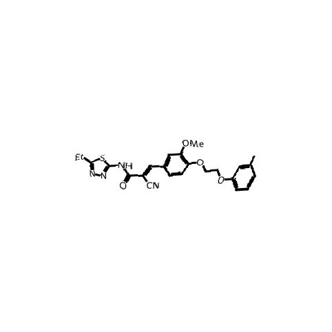 CCc1nnc(NC(=O)/C(C#N)=C/c2ccc(OCCOc3cccc(C)c3)c(OC)c2)s1